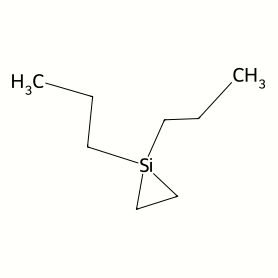 CCC[Si]1(CCC)CC1